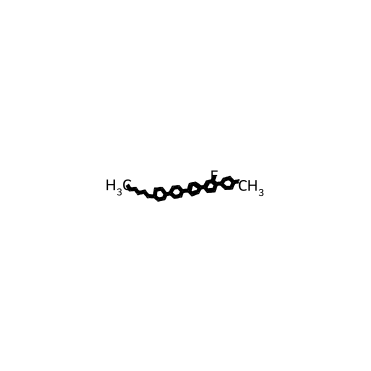 CCCCCCC1CCC(C2CCC(c3ccc(-c4ccc(C5CCC(CC)CC5)c(F)c4)cc3)CC2)CC1